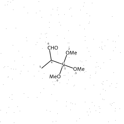 CO[Si](OC)(OC)C(C)C=O